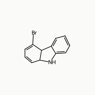 BrC1=CC=CC2Nc3ccccc3C12